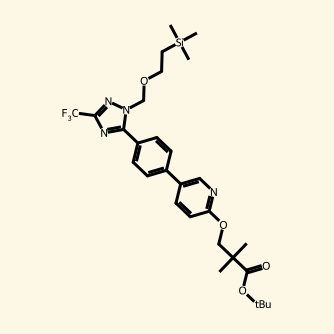 CC(C)(C)OC(=O)C(C)(C)COc1ccc(-c2ccc(-c3nc(C(F)(F)F)nn3COCC[Si](C)(C)C)cc2)cn1